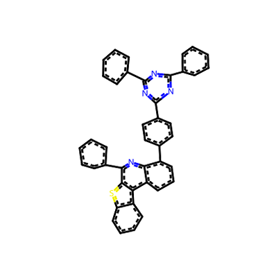 c1ccc(-c2nc(-c3ccccc3)nc(-c3ccc(-c4cccc5c4nc(-c4ccccc4)c4sc6ccccc6c45)cc3)n2)cc1